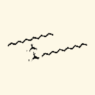 CCC(O)=S.CCC(O)=S.CCCCCCCCCCCCC.CCCCCCCCCCCCC